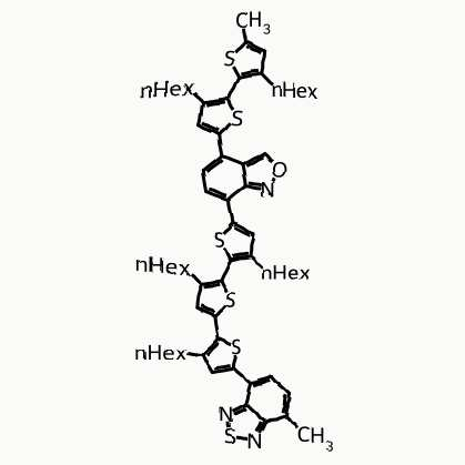 CCCCCCc1cc(-c2ccc(C)c3nsnc23)sc1-c1cc(CCCCCC)c(-c2sc(-c3ccc(-c4cc(CCCCCC)c(-c5sc(C)cc5CCCCCC)s4)c4conc34)cc2CCCCCC)s1